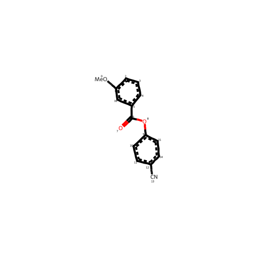 COc1cccc(C(=O)Oc2ccc(C#N)cc2)c1